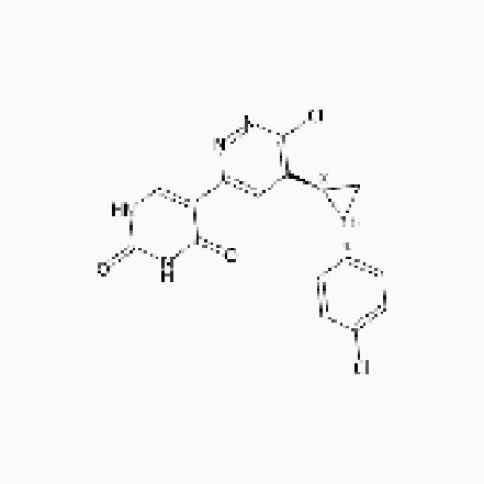 O=c1[nH]cc(-c2cc([C@H]3C[C@@H]3c3ccc(Cl)cc3)c(Cl)nn2)c(=O)[nH]1